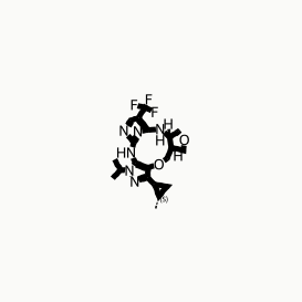 CC(C)n1nc(C2C[C@@H]2C)c2c1Nc1ncc(C(F)(F)F)c(n1)N[C@@H]1COC[C@H]1CO2